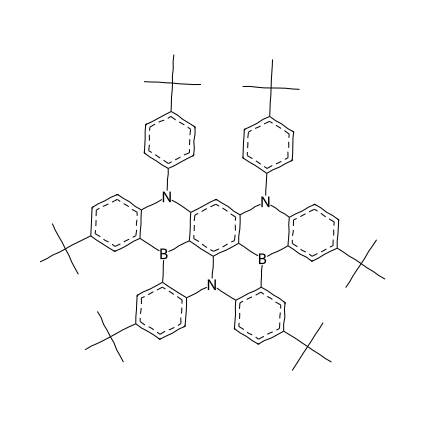 CC(C)(C)c1ccc(N2c3ccc(C(C)(C)C)cc3B3c4cc(C(C)(C)C)ccc4N4c5ccc(C(C)(C)C)cc5B5c6cc(C(C)(C)C)ccc6N(c6ccc(C(C)(C)C)cc6)c6cc2c3c4c65)cc1